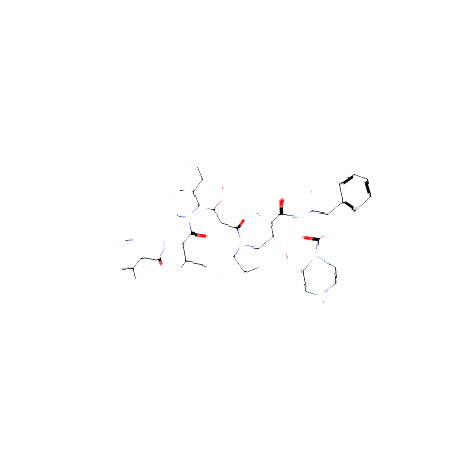 CC[C@H](C)[C@@H](C(CC(=O)N1CCC[C@H]1[C@H](OC)[C@@H](C)C(=O)N[C@H](C)[C@@H](OC(=O)N1CCN(C)CC1)c1ccccc1)OC)N(C)C(=O)[C@@H](NC(=O)[C@@H](NC)C(C)C)C(C)C